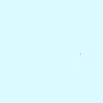 O=C(c1ccc(Nc2cccc(C(F)(F)F)c2)c2ccccc12)N1CCCCC1